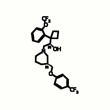 O[C@H](CN1CCC[C@@H](COc2ccc(C(F)(F)F)cc2)C1)C1(c2ccccc2OC(F)(F)F)CCC1